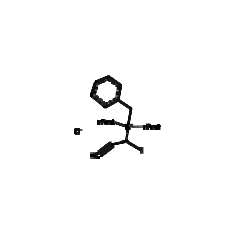 C#CC(I)[N+](CCCCC)(CCCCC)Cc1ccccc1.[Cl-]